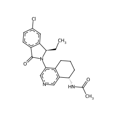 CC[C@@H]1c2cc(Cl)ccc2C(=O)N1c1cncc2c1CCC[C@@H]2NC(C)=O